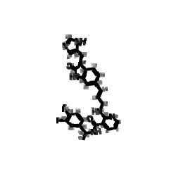 C[C@H](NC(=O)c1cccnc1NCC=Cc1ccc2c(c1)NC(=O)C2=Cc1cnc[nH]1)c1ccc(F)c(F)c1